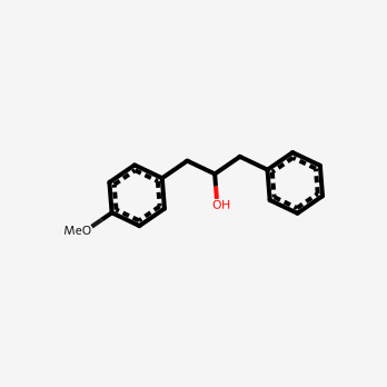 COc1ccc(CC(O)Cc2ccccc2)cc1